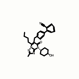 CCCCc1c(Cc2ccc(-c3ccccc3C#N)cc2)c(=O)n([C@H]2CC[C@H](O)CC2)c2nc(C)nn12